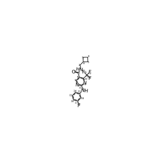 O=C(NCC1CCC1)c1cnc(Nc2cccc(F)c2)nc1C(F)(F)F